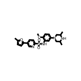 COc1ccc(N2CC(C)NC(C)C2)cc1NS(=O)(=O)c1ccc(-c2ccc(C)o2)cn1